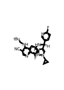 [2H]C(Nc1cc(F)c2ncc(C#N)c(NCC(C)(C)C)c2c1)(C1=CN(C2CC2)NN1)c1ccc(F)nc1